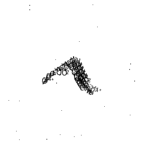 NCC(=O)[O-].NCC(=O)[O-].NCC(=O)[O-].NCC(=O)[O-].NCC(=O)[O-].NCC(=O)[O-].NCC(=O)[O-].[Al+3].[Al+3].[O-]Cl.[O-]Cl.[O-]Cl.[O-]Cl.[O-]Cl.[O-]Cl.[O-]Cl.[Zr+4].[Zr+4]